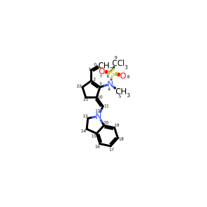 C=CC1=C(N(C)S(=O)(=O)C(Cl)(Cl)Cl)/C(=C/N2CCc3ccccc32)CC1